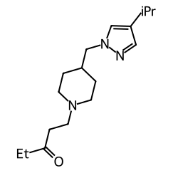 CCC(=O)CCN1CCC(Cn2cc(C(C)C)cn2)CC1